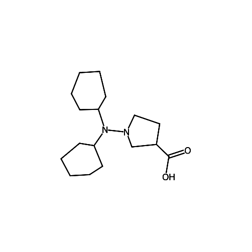 O=C(O)C1CCN(N(C2CCCCC2)C2CCCCC2)C1